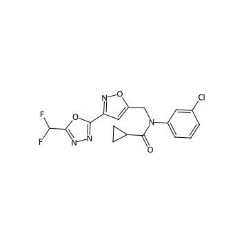 O=C(C1CC1)N(Cc1cc(-c2nnc(C(F)F)o2)no1)c1cccc(Cl)c1